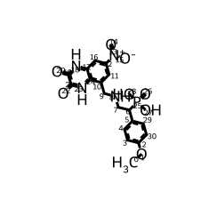 COc1ccc(C(CNCc2cc([N+](=O)[O-])cc3[nH]c(=O)c(=O)[nH]c23)P(=O)(O)O)cc1